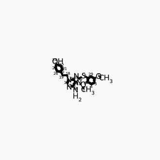 COc1ccc(OC)c(Sc2nc3c(N)ncn(CCc4ccc(O)cc4)c-3n2)c1